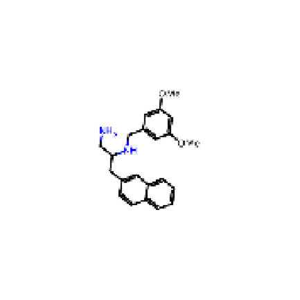 COc1cc(CNC(CN)Cc2ccc3ccccc3c2)cc(OC)c1